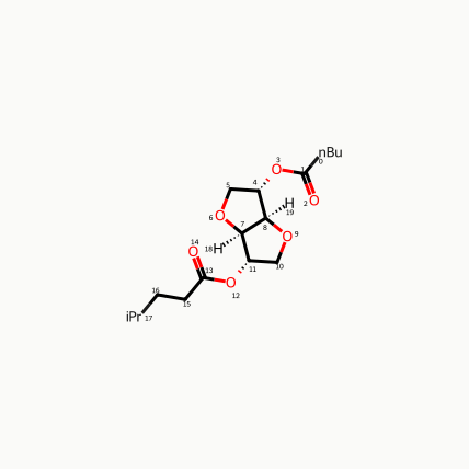 CCCCC(=O)O[C@H]1CO[C@H]2[C@@H]1OC[C@@H]2OC(=O)CCC(C)C